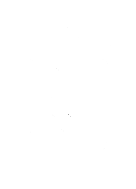 c1ccc(-c2ccc(-c3cc(-c4nc(-c5ccccc5)nc(-c5ccc6c(c5)sc5ccccc56)n4)c4ccccc4c3-n3c4cc5ccccc5cc4c4c5ccccc5ccc43)cc2)cc1